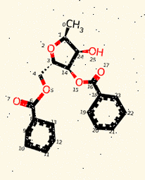 C[C@@H]1O[C@@H](COC(=O)c2ccccc2)[C@H](OC(=O)c2ccccc2)[C@@H]1O